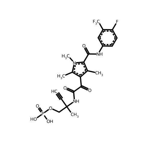 C#CC(C)(COP(=O)(O)O)NC(=O)C(=O)c1c(C)c(C(=O)Nc2ccc(F)c(C(F)(F)F)c2)n(C)c1C